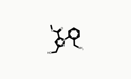 COC(=O)c1cc(CO)nn1-c1ccccc1CN